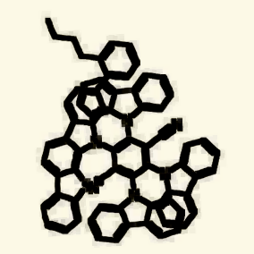 CCCCc1ccccc1-c1ccc2c3ccc4c5ccccc5sc4c3n(-c3c(C#N)c(-n4c5ccccc5c5ccccc54)c(-n4c5ccccc5c5ccccc54)c(C#N)c3-n3c4ccccc4c4ccccc43)c2c1